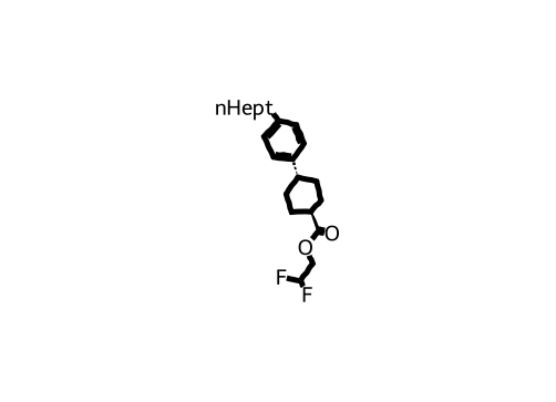 CCCCCCCc1ccc([C@H]2CC[C@H](C(=O)OCC(F)F)CC2)cc1